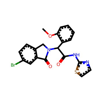 COc1ccccc1C(C(=O)Nc1nccs1)N1Cc2ccc(Br)cc2C1=O